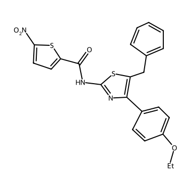 CCOc1ccc(-c2nc(NC(=O)c3ccc([N+](=O)[O-])s3)sc2Cc2ccccc2)cc1